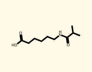 CC(C)C(=O)NCCCCCC(=O)O